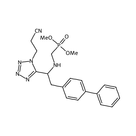 COP(=O)(CNC(Cc1ccc(-c2ccccc2)cc1)c1nnnn1CCC#N)OC